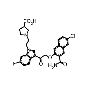 NC(=O)c1cc2cc(Cl)ccc2cc1OCC(=O)c1cn(CCN2CCC(C(=O)O)C2)c2cc(F)ccc12